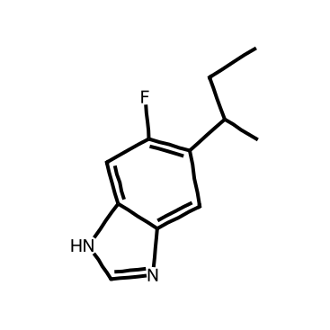 CCC(C)c1cc2nc[nH]c2cc1F